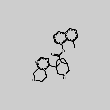 Cc1cccc2cccc(OC(=O)N3C4CCC3(c3ncnc5c3CCNC5)CNC4)c12